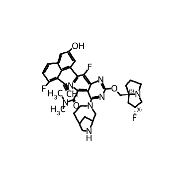 C#Cc1c(F)ccc2cc(O)cc(-c3nc(C(=O)N(C)C)c4c(N5CCC6CNC(C6)C5)nc(OC[C@@]56CCCN5C[C@H](F)C6)nc4c3F)c12